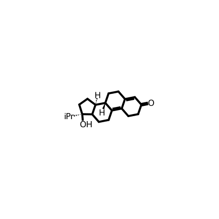 CC(C)[C@]1(O)CC[C@@H]2C1CCC1=C3CCC(=O)C=C3CC[C@H]12